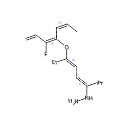 C=C/C(F)=C(\C=C/C)O/C(=C/C=C(/NN)C(C)C)CC